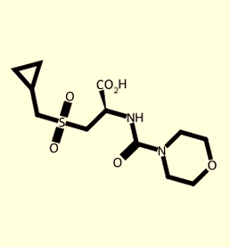 O=C(O)[C@H](CS(=O)(=O)CC1CC1)NC(=O)N1CCOCC1